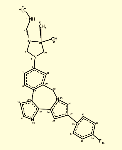 CNC[C@H]1CN(c2ccc3c(c2)Cn2cc(-c4ccc(F)cc4)cc2-c2nccn2-3)C[C@@]1(C)O